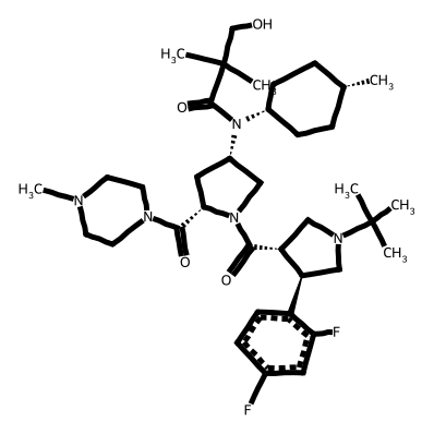 CN1CCN(C(=O)[C@@H]2C[C@H](N(C(=O)C(C)(C)CO)[C@H]3CC[C@@H](C)CC3)CN2C(=O)[C@@H]2CN(C(C)(C)C)C[C@H]2c2ccc(F)cc2F)CC1